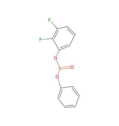 O=S(Oc1ccccc1)Oc1cccc(F)c1F